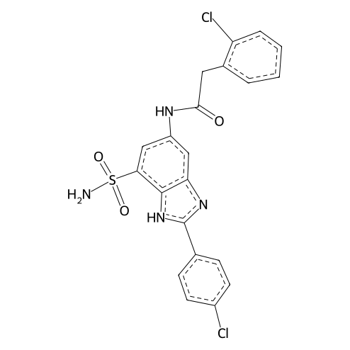 NS(=O)(=O)c1cc(NC(=O)Cc2ccccc2Cl)cc2nc(-c3ccc(Cl)cc3)[nH]c12